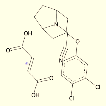 N#CCN1C2CCC1CC(Oc1ccc(Cl)c(Cl)c1)C2.O=C(O)/C=C/C(=O)O